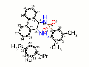 Cc1cc(C)cc(S(=O)(=O)N[C@H](c2ccccc2)[C@H](N)c2ccccc2)c1.Cc1ccc(C(C)C)cc1.[Ru]